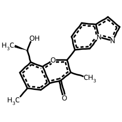 Cc1cc([C@@H](C)O)c2oc(-c3ccc4ccnn4c3)c(C)c(=O)c2c1